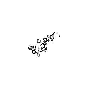 CN1CC[C@@H](Nc2cccn3c(SC(F)(F)F)c(-c4noc(CNC(=O)c5ccc(-c6ccn[nH]6)s5)n4)cc23)[C@@H](F)C1